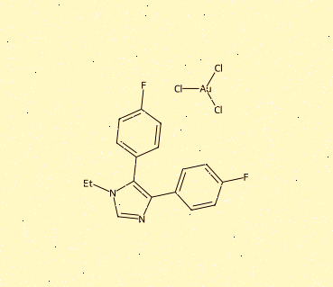 CCn1cnc(-c2ccc(F)cc2)c1-c1ccc(F)cc1.[Cl][Au]([Cl])[Cl]